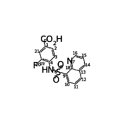 O=C(O)c1ccc(NS(=O)(=O)c2cccc3cccnc23)c(F)c1